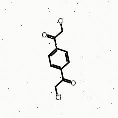 O=C(CCl)c1ccc(C(=O)CCl)cc1